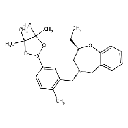 CC[C@@H]1CN(Cc2cc(B3OC(C)(C)C(C)(C)O3)ccc2C)Cc2ccccc2O1